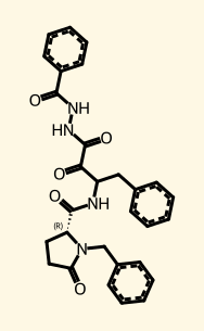 O=C(NNC(=O)c1ccccc1)C(=O)C(Cc1ccccc1)NC(=O)[C@H]1CCC(=O)N1Cc1ccccc1